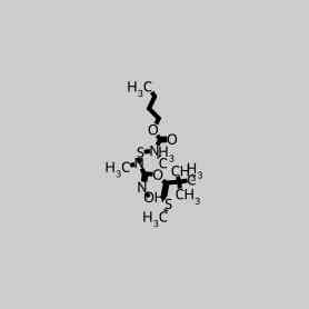 CCCCOC(=O)N(C)SN(C)C(=NO)OC(=CSC)C(C)(C)C